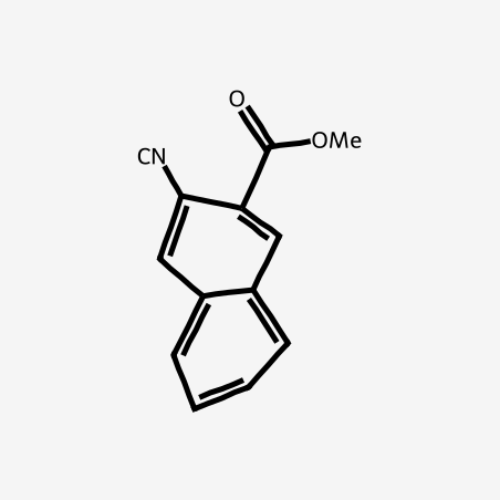 [C-]#[N+]c1cc2ccccc2cc1C(=O)OC